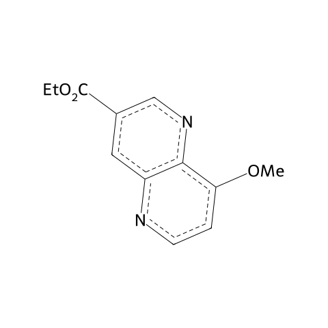 CCOC(=O)c1cnc2c(OC)ccnc2c1